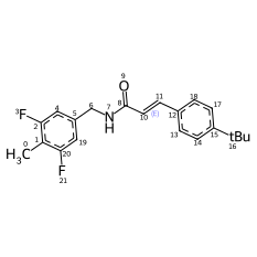 Cc1c(F)cc(CNC(=O)/C=C/c2ccc(C(C)(C)C)cc2)cc1F